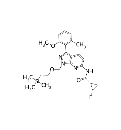 COc1cccc(C)c1-c1nn(COCC[Si](C)(C)C)c2nc(NC(=O)[C@@H]3C[C@@H]3F)ccc12